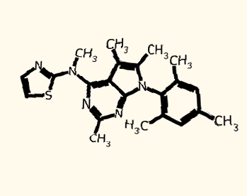 Cc1cc(C)c(-n2c(C)c(C)c3c(N(C)c4nccs4)nc(C)nc32)c(C)c1